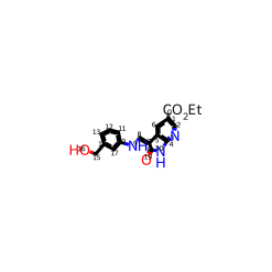 CCOC(=O)c1cnc2c(c1)C(=CNc1cccc(CO)c1)C(=O)N2